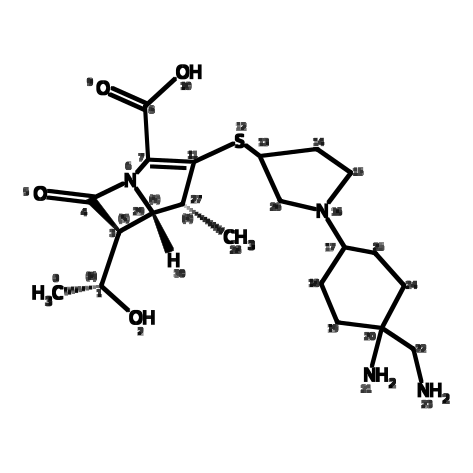 C[C@@H](O)[C@H]1C(=O)N2C(C(=O)O)=C(SC3CCN(C4CCC(N)(CN)CC4)C3)[C@H](C)[C@H]12